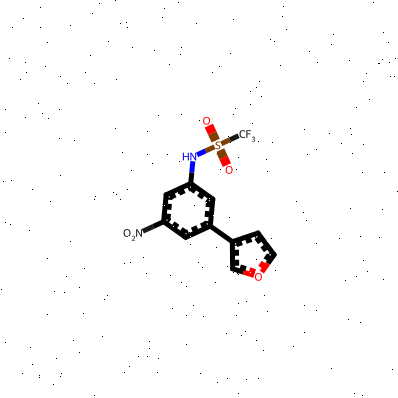 O=[N+]([O-])c1cc(NS(=O)(=O)C(F)(F)F)cc(-c2ccoc2)c1